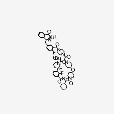 CC(C)(C)C(=O)N1CCC[C@](F)(c2cccc(C(=O)N[C@@H](C(=O)N3CCC(OC4CCN(CC(=O)N5CCN(C(=O)c6cc(Cc7n[nH]c(=O)c8ccccc78)ccc6F)CC5)CC4)CC3)C3CCCCC3)c2F)C1